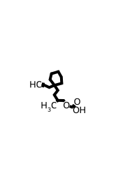 C#CCC1(CCC(C)COC(=O)O)CCCCC1